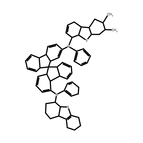 CC1CC2SC3C(CC=CC3N(C3=CC4C(C=C3)C3C=CC=CC3C43C4C=CC=CC4C4C(N(C5=CCCC=C5)C5CCCC6C7=C(CCCC7)SC65)=CC=CC43)c3ccccc3)C2CC1C